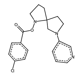 O=C(ON1CCCC12CCN(c1cccnc1)C2)c1ccc(Cl)cc1